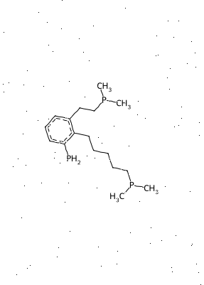 CP(C)CCCCCc1c(P)cccc1CCP(C)C